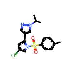 Cc1ccc(S(=O)(=O)n2cc(Cl)cc2-c2cnn(C(C)C)c2)cc1